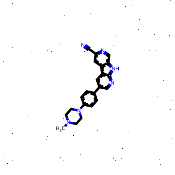 CN1CCN(c2ccc(-c3cnc4[nH]c5cnc(C#N)cc5c4c3)cc2)CC1